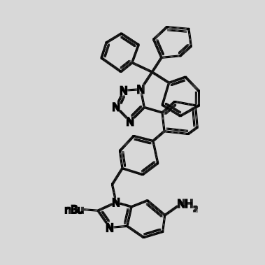 CCCCc1nc2ccc(N)cc2n1Cc1ccc(-c2ccccc2-c2nnnn2C(c2ccccc2)(c2ccccc2)c2ccccc2)cc1